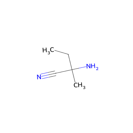 CCC(C)(N)C#N